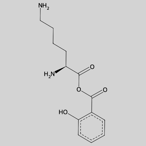 NCCCC[C@H](N)C(=O)OC(=O)c1ccccc1O